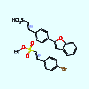 CCOS(=O)(=O)/C=C/c1ccc(Br)cc1.O=S(=O)(O)/C=C/c1ccc(-c2cc3ccccc3o2)cc1